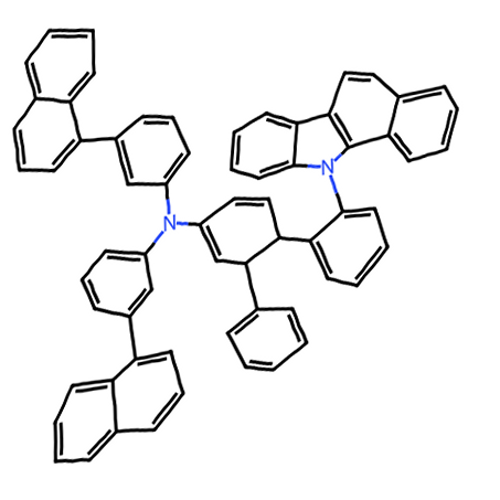 C1=CC(c2ccccc2-n2c3ccccc3c3ccc4ccccc4c32)C(c2ccccc2)C=C1N(c1cccc(-c2cccc3ccccc23)c1)c1cccc(-c2cccc3ccccc23)c1